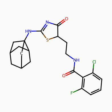 O=C(NCCC1SC(NC23CC4CC(CC2C4)C3)=NC1=O)c1c(F)cccc1Cl